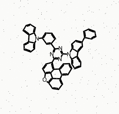 c1ccc(-c2ccc3c(c2)c2ccccc2n3-c2nc(-c3cccc(-n4c5ccccc5c5ccccc54)c3)nc(-c3ccc4oc5cccc6c7ccccc7c3c4c56)n2)cc1